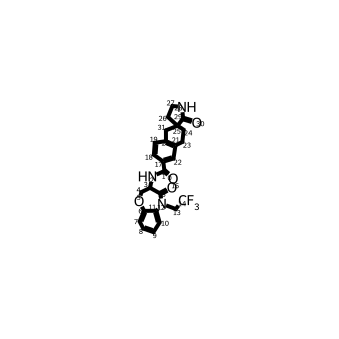 O=C(NC1COc2ccccc2N(CC(F)(F)F)C1=O)c1ccc2c(c1)CCC1(CCNC1=O)C2